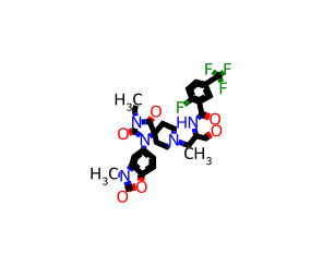 CCN1C(=O)N(c2ccc3oc(=O)n(C)c3c2)C2(CCN(C(C)C(C=O)NC(=O)c3cc(C(F)(F)F)ccc3F)CC2)C1=O